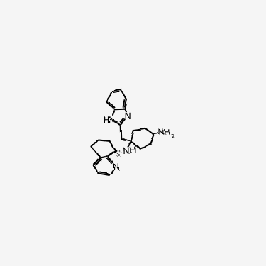 N[C@H]1CC[C@](Cc2nc3ccccc3[nH]2)(N[C@H]2CCCc3cccnc32)CC1